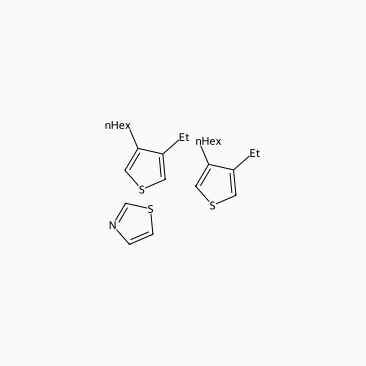 CCCCCCc1cscc1CC.CCCCCCc1cscc1CC.c1cscn1